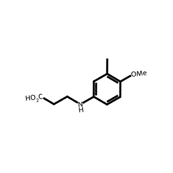 COc1ccc(NCCC(=O)O)cc1C